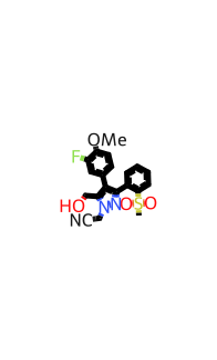 COc1ccc(-c2c(-c3ccccc3S(C)(=O)=O)nn(CC#N)c2CO)cc1F